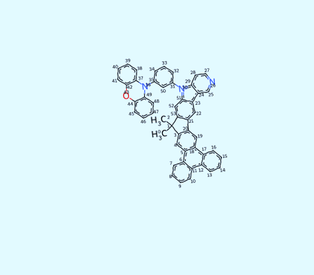 CC1(C)c2cc3c4ccccc4c4ccccc4c3cc2-c2cc3c4cnccc4n(-c4cccc(N5c6ccccc6Oc6ccccc65)c4)c3cc21